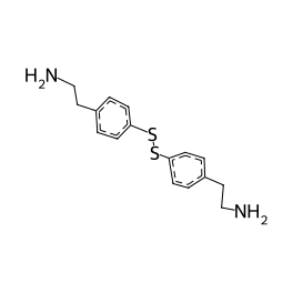 NCCc1ccc(SSc2ccc(CCN)cc2)cc1